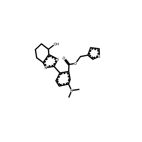 CN(C)c1ccc(-c2nc3c(s2)C(O)CCC3)c(C(=O)OCc2ccsc2)c1